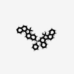 CC1(C)c2ccc3ccccc3c2-c2ccc3cc(N(c4ccccc4)c4cc5c(c6ccccc46)-c4ccc6ccccc6c4C5(C)C)ccc3c21